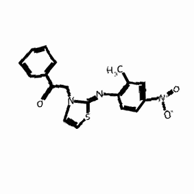 Cc1cc([N+](=O)[O-])ccc1N=c1sccn1CC(=O)c1ccccc1